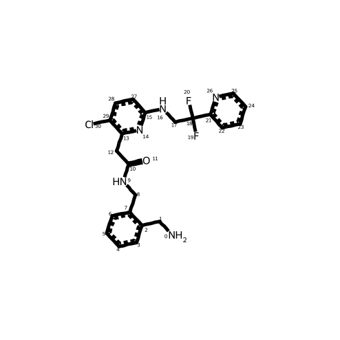 NCc1ccccc1CNC(=O)Cc1nc(NCC(F)(F)c2ccccn2)ccc1Cl